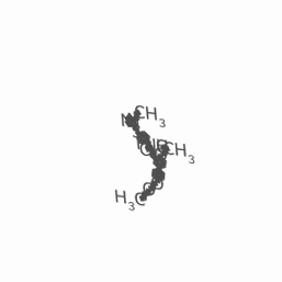 CCCCOCCOc1ccc(-c2ccc(OCC(C)C)c(/C=C/C(=O)Nc3ccc(SCc4cncn4CCC)cc3)c2)cc1